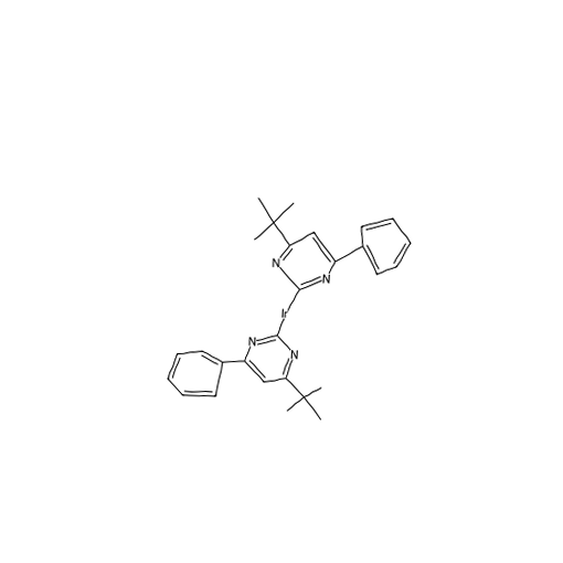 CC(C)(C)c1cc(-c2ccccc2)n[c]([Ir][c]2nc(-c3ccccc3)cc(C(C)(C)C)n2)n1